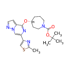 Cc1nc(-c2cn3nccc3c(O[C@@H]3CCCN(C(=O)OC(C)(C)C)CC3)n2)cs1